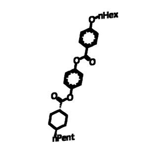 CCCCCCOc1ccc(C(=O)Oc2ccc(OC(=O)[C@H]3CC[C@H](CCCCC)CC3)cc2)cc1